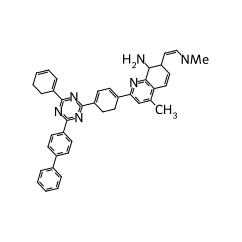 CN/C=C\C1C=Cc2c(C)cc(C3=CC=C(c4nc(C5=CC=CCC5)nc(-c5ccc(-c6ccccc6)cc5)n4)CC3)nc2C1N